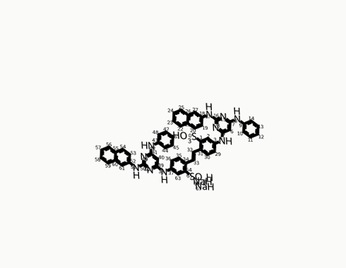 O=S(=O)(O)c1cc(Nc2cc(Nc3ccccc3)nc(Nc3ccc4ccccc4c3)n2)ccc1C=Cc1ccc(Nc2cc(Nc3ccccc3)nc(Nc3ccc4ccccc4c3)n2)cc1S(=O)(=O)O.[NaH].[NaH]